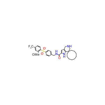 COc1cc(C(F)(F)F)ccc1S(=O)(=O)c1ccc(CNC(=O)c2cc3c([nH]2)C2(CCCCCCCCC2)CNC3)cc1